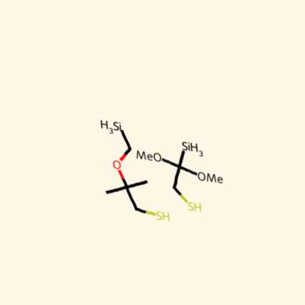 CC(C)(CS)OC[SiH3].COC([SiH3])(CS)OC